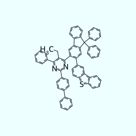 CCc1c(-c2ccccc2)nc(-c2ccc(-c3ccccc3)cc2)nc1-c1cc2c(cc1-c1ccc3sc4ccccc4c3c1)C(c1ccccc1)(c1ccccc1)c1ccccc1-2